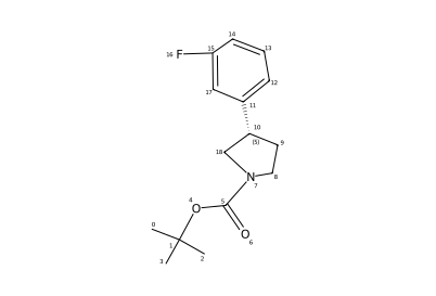 CC(C)(C)OC(=O)N1CC[C@@H](c2cccc(F)c2)C1